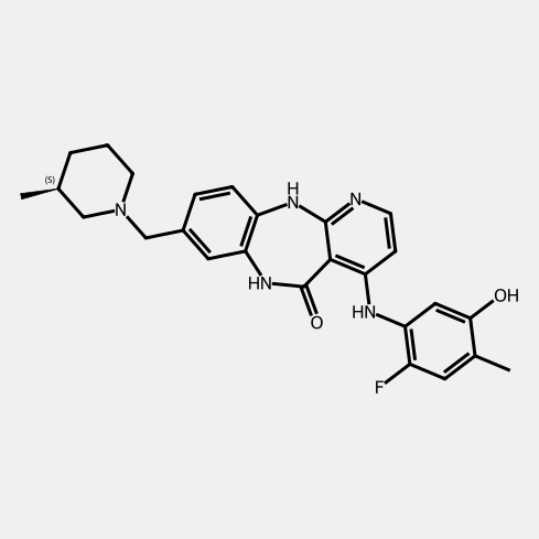 Cc1cc(F)c(Nc2ccnc3c2C(=O)Nc2cc(CN4CCC[C@H](C)C4)ccc2N3)cc1O